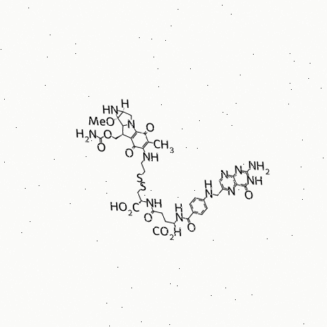 CO[C@]12N[C@H]1CN1C3=C(C(=O)C(NCCSSC[C@@H](NC(=O)CC[C@@H](NC(=O)c4ccc(NCc5cnc6nc(N)[nH]c(=O)c6n5)cc4)C(=O)O)C(=O)O)=C(C)C3=O)[C@@H](COC(N)=O)C12